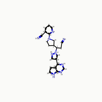 N#CCC(C1CCN(c2ncccc2C#N)C1)n1cc(-c2ncnc3[nH]ccc23)cn1